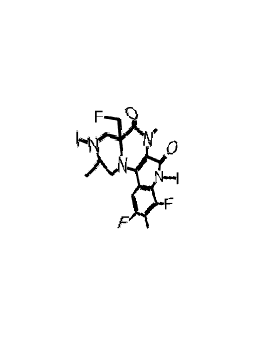 Cc1c(F)cc2c3c(c(=O)n(I)c2c1F)N(C)C(=O)C1(CF)CN(I)C(C)CN31